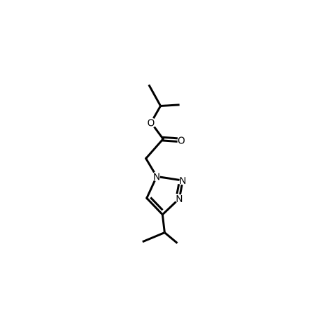 CC(C)OC(=O)Cn1cc(C(C)C)nn1